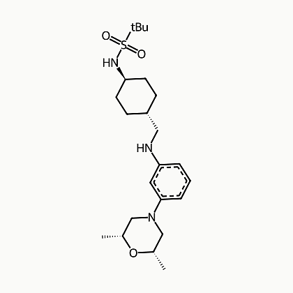 C[C@@H]1CN(c2cccc(NC[C@H]3CC[C@H](NS(=O)(=O)C(C)(C)C)CC3)c2)C[C@H](C)O1